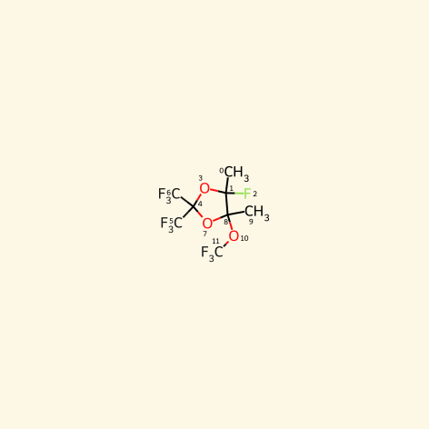 CC1(F)OC(C(F)(F)F)(C(F)(F)F)OC1(C)OC(F)(F)F